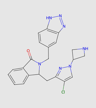 O=C1c2ccccc2C(Cc2nn(C3CNC3)cc2Cl)N1Cc1ccc2[nH]nnc2c1